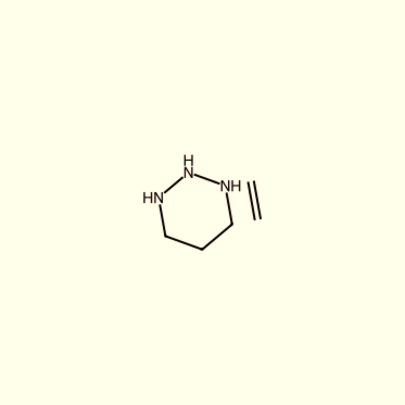 C1CNNNC1.C=C